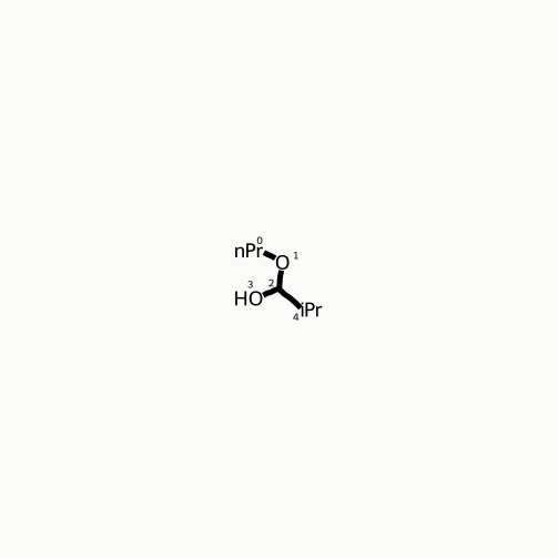 CCCOC(O)C(C)C